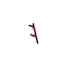 CCCCCCCCCC(CCCCCCCCOC(=O)CC(CCCC)CCCCCC)OC(=O)CCCN(C)C